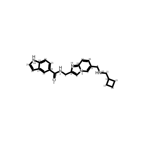 O=C(NCc1cn2cc(CNCC3CCC3)ccc2n1)c1ccc2[nH]ccc2c1